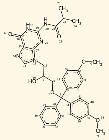 COc1ccc(C(OCC(O)Cn2cnc3c(=O)[nH]c(NC(=O)C(C)C)nc32)(c2ccccc2)c2ccc(OC)cc2)cc1